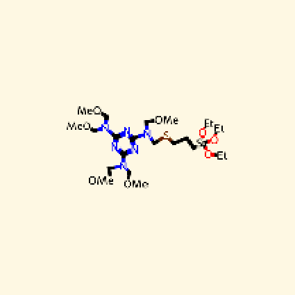 CCO[Si](CCCSCN(COC)c1nc(N(COC)COC)nc(N(COC)COC)n1)(OCC)OCC